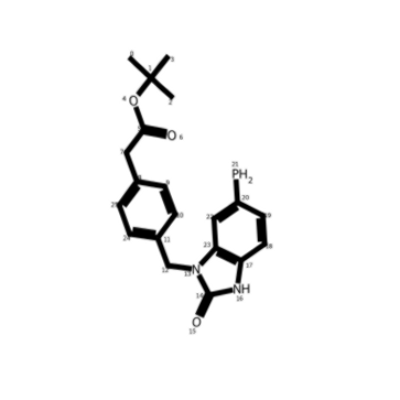 CC(C)(C)OC(=O)Cc1ccc(Cn2c(=O)[nH]c3ccc(P)cc32)cc1